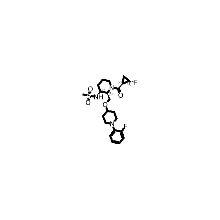 CS(=O)(=O)N[C@H]1CCCN(C(=O)[C@H]2C[C@@H]2F)[C@H]1COC1CCN(c2ccccc2F)CC1